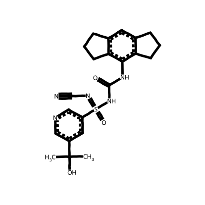 CC(C)(O)c1cncc(S(=O)(=NC#N)NC(=O)Nc2c3c(cc4c2CCC4)CCC3)c1